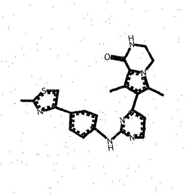 Cc1nc(-c2ccc(Nc3nccc(-c4c(C)c5n(c4C)CCNC5=O)n3)cc2)cs1